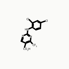 O=C(O)c1cnc(Nc2ccc(Cl)cc2Cl)nc1C(F)(F)F